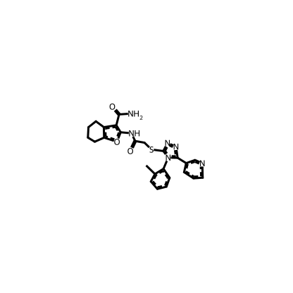 Cc1ccccc1-n1c(SCC(=O)Nc2oc3c(c2C(N)=O)CCCC3)nnc1-c1cccnc1